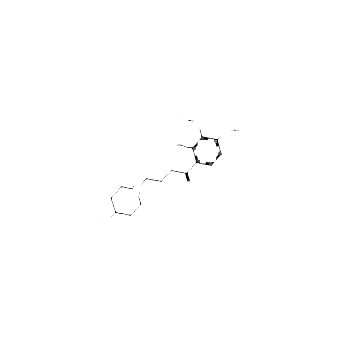 COc1ccc(C(=O)CCCN2CCC(C)CC2)c(Cl)c1OC